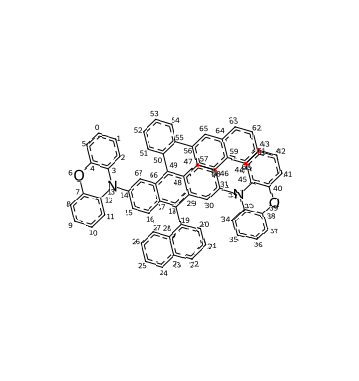 c1ccc2c(c1)Oc1ccccc1N2c1ccc2c(-c3cccc4ccccc34)c3cc(N4c5ccccc5Oc5ccccc54)ccc3c(-c3ccccc3-c3ccc4ccccc4c3)c2c1